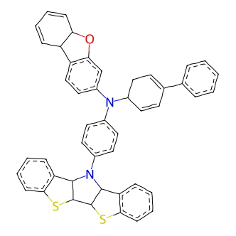 C1=CC2Oc3cc(N(c4ccc(N5C6c7ccccc7SC6C6Sc7ccccc7C65)cc4)C4C=CC(c5ccccc5)=CC4)ccc3C2C=C1